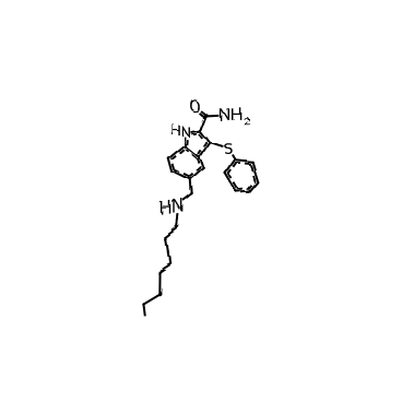 CCCCCCCNCc1ccc2[nH]c(C(N)=O)c(Sc3ccccc3)c2c1